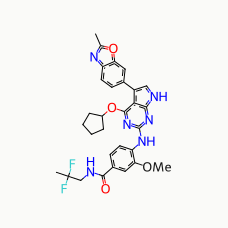 COc1cc(C(=O)NCC(C)(F)F)ccc1Nc1nc(OC2CCCC2)c2c(-c3ccc4nc(C)oc4c3)c[nH]c2n1